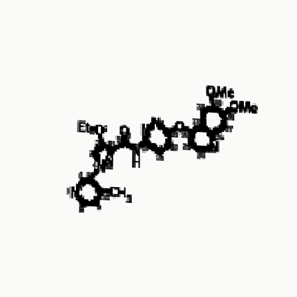 CCOc1cn(-c2cnccc2C)nc1C(=O)Nc1ccc(Oc2ccnc3cc(OC)c(OC)cc23)nn1